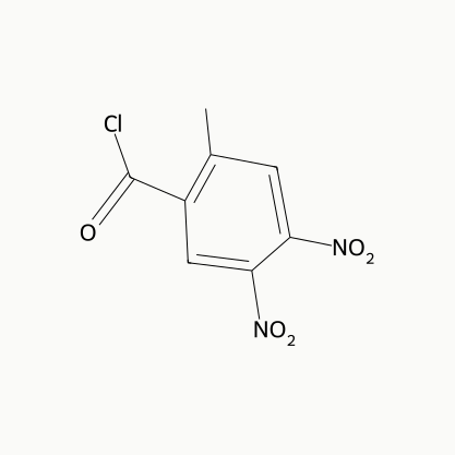 Cc1cc([N+](=O)[O-])c([N+](=O)[O-])cc1C(=O)Cl